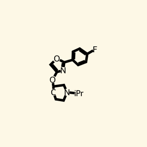 CC(C)N1CCCC(Oc2coc(-c3ccc(F)cc3)n2)C1